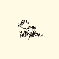 COc1ccc(C(=O)Nc2ccc(C(=O)N(C)c3ccc(C)cc3OCCCCC(C=O)N3CCN(C)CC3)cc2OC)c(OCCCN)c1.Cl.Cl